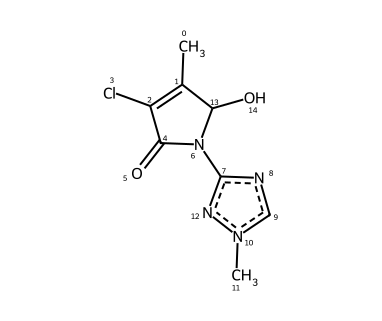 CC1=C(Cl)C(=O)N(c2ncn(C)n2)C1O